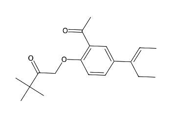 CC=C(CC)c1ccc(OCC(=O)C(C)(C)C)c(C(C)=O)c1